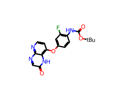 CC(C)(C)OC(=O)Nc1ccc(Oc2ccnc3ncc(=O)[nH]c23)cc1F